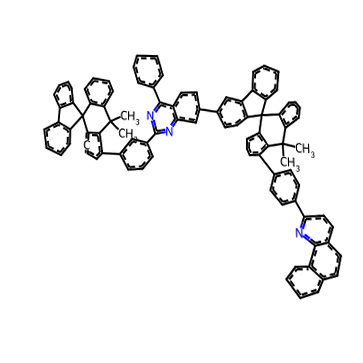 CC1(C)c2ccccc2C2(c3ccccc3-c3ccccc32)c2cccc(-c3cccc(-c4nc(-c5ccccc5)c5ccc(-c6ccc7c(c6)-c6ccccc6C76c7ccccc7C(C)(C)c7c(-c8ccc(-c9ccc%10ccc%11ccccc%11c%10n9)cc8)cccc76)cc5n4)c3)c21